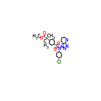 COC(=O)C(C)(C)c1ccc(S(=O)(=O)N(c2ccc(Cl)cc2)n2nnc3ncccc32)cc1